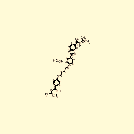 CC(C)NC(=N)c1ccc(OCCCCOc2ccc(-c3cc4cc(C(=N)NC(C)C)ccc4o3)cc2)cc1.Cl.Cl